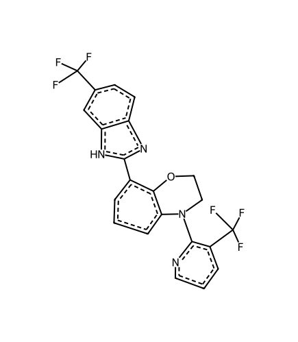 FC(F)(F)c1ccc2nc(-c3cccc4c3OCCN4c3ncccc3C(F)(F)F)[nH]c2c1